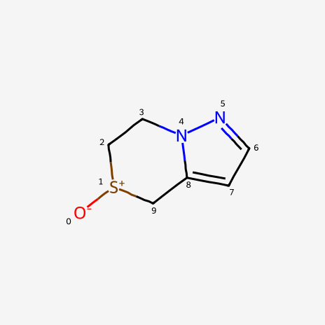 [O-][S+]1CCn2nccc2C1